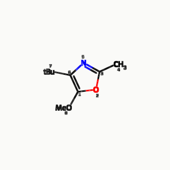 COc1oc(C)nc1C(C)(C)C